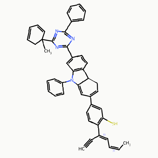 C#C/C(=C\C=C/C)c1ccc(C2=CCC3C(=C2)N(c2ccccc2)c2cc(-c4nc(-c5ccccc5)nc(C5(C)C=CC=CC5)n4)ccc23)cc1S